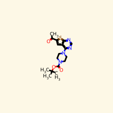 CC(=O)c1cc2c(N3CCN(C(=O)OC(C)(C)C)CC3)ncnc2s1